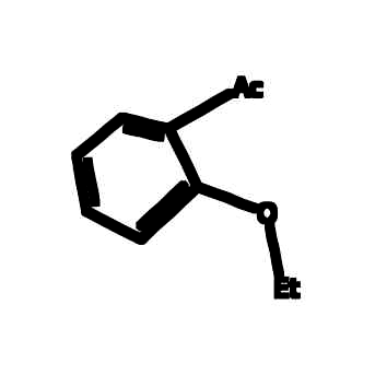 CCOc1ccccc1C(C)=O